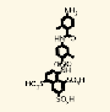 Cc1cc(N)ccc1C(=O)Nc1ccc(S(=O)(=O)Nc2ccc(S(=O)(=O)O)c3cc(S(=O)(=O)O)cc(S(=O)(=O)O)c23)c(C)c1